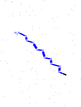 CN=NN=NN=NN=NN=NN